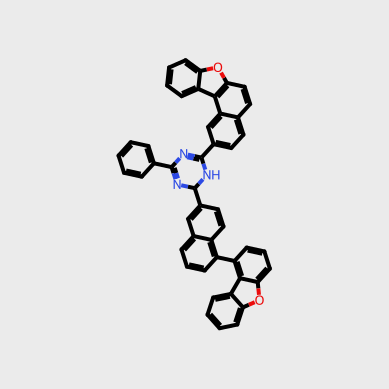 c1ccc(C2=NC(c3ccc4c(-c5cccc6oc7ccccc7c56)cccc4c3)NC(c3ccc4ccc5oc6ccccc6c5c4c3)=N2)cc1